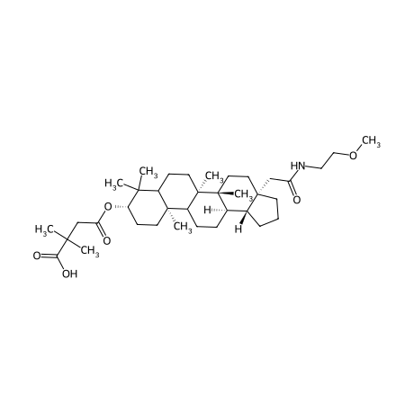 COCCNC(=O)C[C@]12CCC[C@@H]1[C@H]1CCC3[C@@]4(C)CC[C@H](OC(=O)CC(C)(C)C(=O)O)C(C)(C)C4CC[C@@]3(C)[C@]1(C)CC2